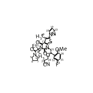 CC[C@@](C)(C(=O)N1CCCC1)n1c(=O)c2c(C)c(-n3cccn3)sc2n(C[C@H](OCCC#N)c2cc(F)ccc2OC)c1=O